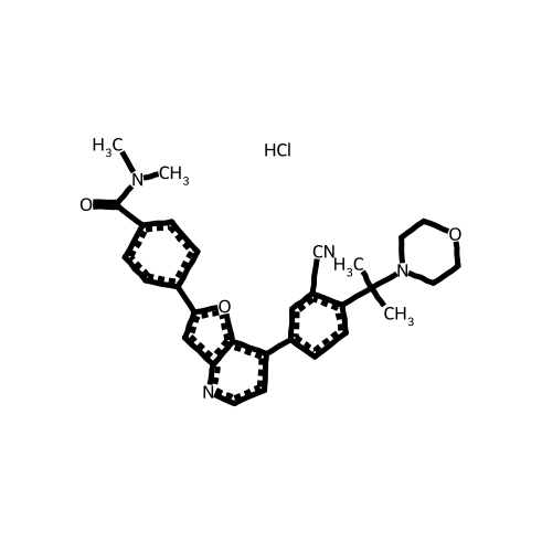 CN(C)C(=O)c1ccc(-c2cc3nccc(-c4ccc(C(C)(C)N5CCOCC5)c(C#N)c4)c3o2)cc1.Cl